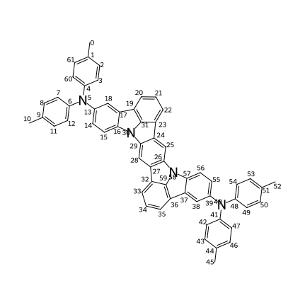 Cc1ccc(N(c2ccc(C)cc2)c2ccc3c(c2)c2cccc4c5cc6c(cc5n3c24)c2cccc3c4cc(N(c5ccc(C)cc5)c5ccc(C)cc5)ccc4n6c32)cc1